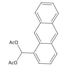 CC(=O)OC(OC(C)=O)c1cccc2cc3ccccc3cc12